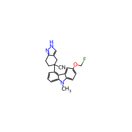 Cn1c2ccc(OCF)cc2c2c(C3(C#N)CCc4n[nH]cc4C3)cccc21